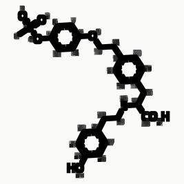 CS(=O)(=O)Oc1ccc(OCCc2ccc(CC(SCCc3ccc(O)cc3)C(=O)O)cc2)cc1